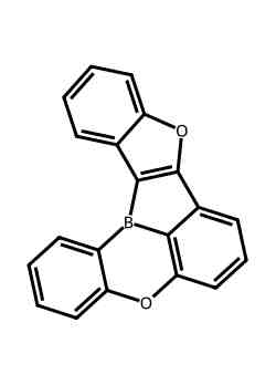 c1ccc2c(c1)Oc1cccc3c1B2c1c-3oc2ccccc12